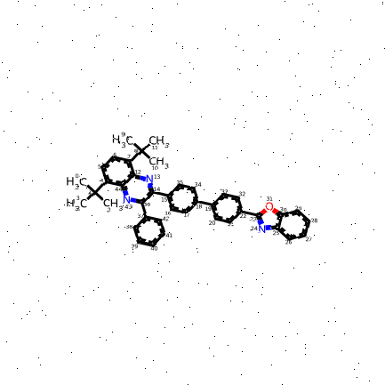 CC(C)(C)c1ccc(C(C)(C)C)c2nc(-c3ccc(-c4ccc(-c5nc6ccccc6o5)cc4)cc3)c(-c3ccccc3)nc12